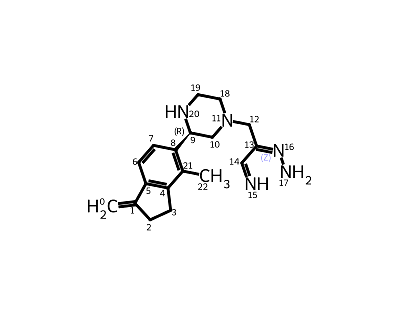 C=C1CCc2c1ccc([C@@H]1CN(C/C(C=N)=N/N)CCN1)c2C